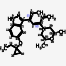 C=N/C(=C\C(=N/C)c1n[nH]c2ccc(OC3(CC)CC3)cc12)N1C[C@@H](C)O[C@@H](C)C1